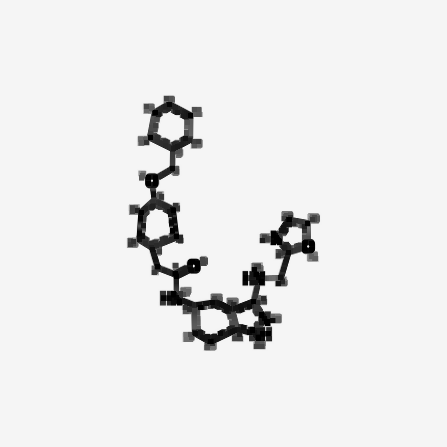 O=C(Cc1ccc(OCc2ccccc2)cc1)Nc1ccc2[nH]nc(NCc3ncco3)c2c1